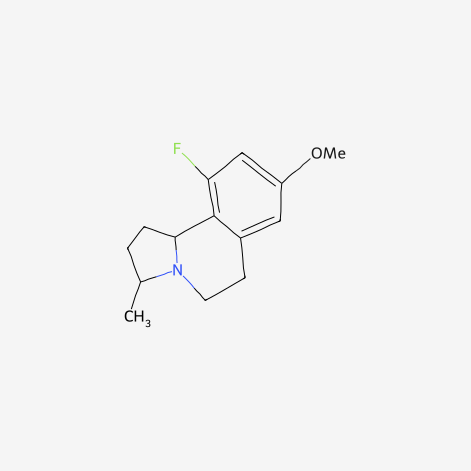 COc1cc(F)c2c(c1)CCN1C(C)CCC21